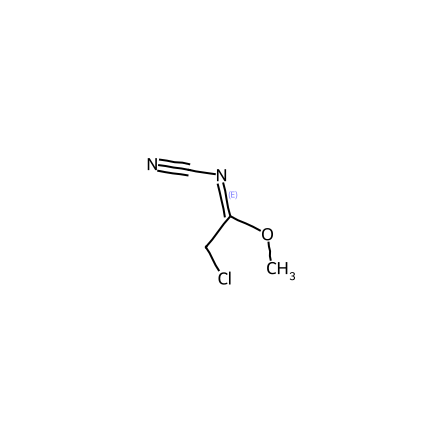 CO/C(CCl)=N/C#N